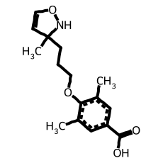 Cc1cc(C(=O)O)cc(C)c1OCCCC1(C)C=CON1